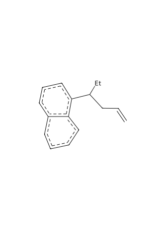 C=CCC(CC)c1cccc2ccccc12